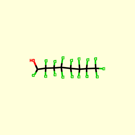 OC(Cl)C(Cl)(Cl)C(Cl)(Cl)C(Cl)(Cl)C(Cl)(Cl)C(Cl)(Cl)C(Cl)(Cl)C(Cl)(Cl)Cl